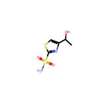 CC(O)c1csc(S(N)(=O)=O)n1